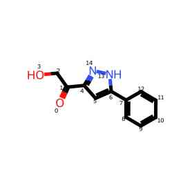 O=C(CO)c1cc(-c2ccccc2)[nH]n1